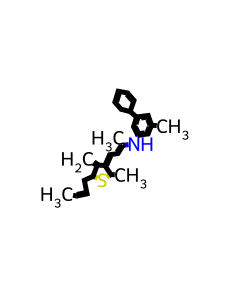 C=C1/C(=C/C=C(\C)Nc2cc(C)cc(C3C=CC=CC3)c2)C(C)SC1C/C=C\C